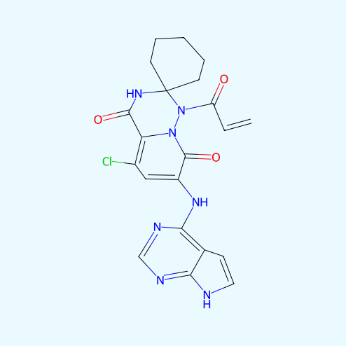 C=CC(=O)N1n2c(c(Cl)cc(Nc3ncnc4[nH]ccc34)c2=O)C(=O)NC12CCCCC2